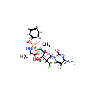 CC(C)OC(=O)[C@H](C)N[P@](=O)(Oc1ccccc1)O[C@H](C)[C@H]1O[C@@H](n2cc(F)c(N)nc2=O)[C@@](F)(CF)C1O